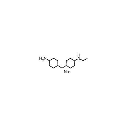 CCNC1CCC(CC2CCC(N)CC2)CC1.[Na]